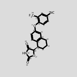 [C-]#[N+]c1ccc(Oc2ccc3c(c2)CCC[C@H]3C2OC(=O)NC2=O)c(C(F)(F)F)c1